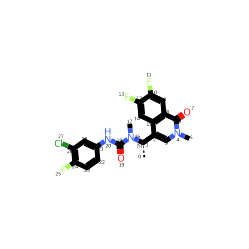 C[C@@H](c1cn(C)c(=O)c2cc(F)c(F)cc12)N(C)C(=O)Nc1ccc(F)c(Cl)c1